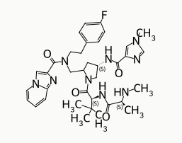 CN[C@@H](C)C(=O)N[C@H](C(=O)N1C[C@@H](NC(=O)c2cn(C)cn2)CC1CN(CCc1ccc(F)cc1)C(=O)c1cn2ccccc2n1)C(C)(C)C